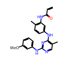 C=CC(=O)Nc1cc(Nc2nc(Nc3cccc(OC)c3)ncc2C)ccc1C